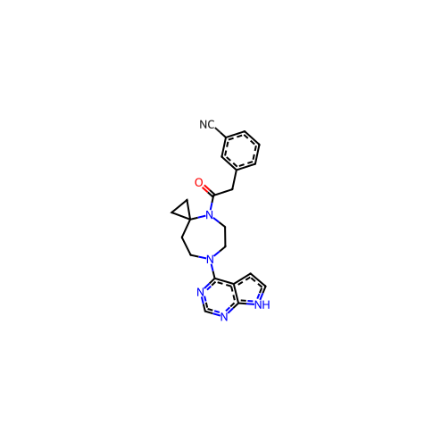 N#Cc1cccc(CC(=O)N2CCN(c3ncnc4[nH]ccc34)CCC23CC3)c1